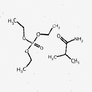 CC(C)C(N)=O.CCOP(=O)(OCC)OCC